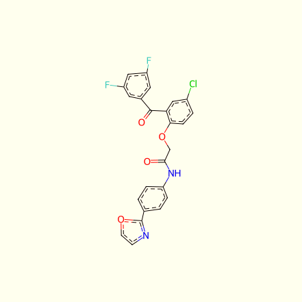 O=C(COc1ccc(Cl)cc1C(=O)c1cc(F)cc(F)c1)Nc1ccc(-c2ncco2)cc1